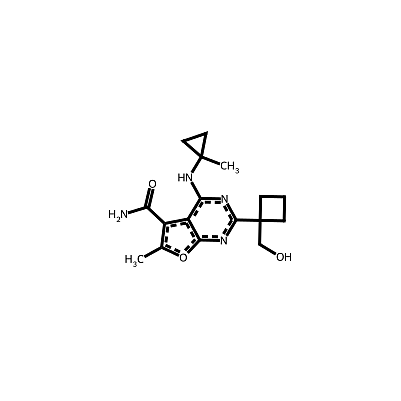 Cc1oc2nc(C3(CO)CCC3)nc(NC3(C)CC3)c2c1C(N)=O